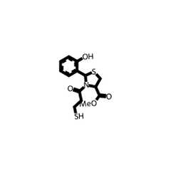 COC(=O)C1CSC(c2ccccc2O)N1C(=O)CCS